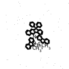 CC1(C)c2ccccc2-c2ccc(N(c3ccc4c(c3)C(C)(C)c3ccccc3-4)c3c4c(cc5ccccc35)C(c3ccccc3)(c3ccccc3)c3ccccc3-4)cc21